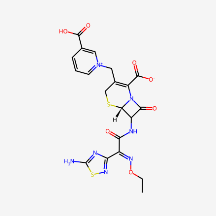 CCON=C(C(=O)NC1C(=O)N2C(C(=O)[O-])=C(C[n+]3cccc(C(=O)O)c3)CS[C@@H]12)c1nsc(N)n1